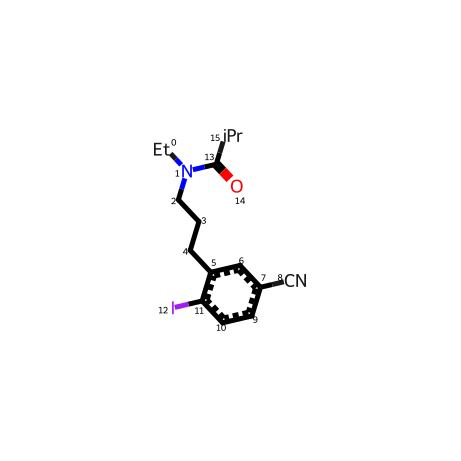 CCN(CCCc1cc(C#N)ccc1I)C(=O)C(C)C